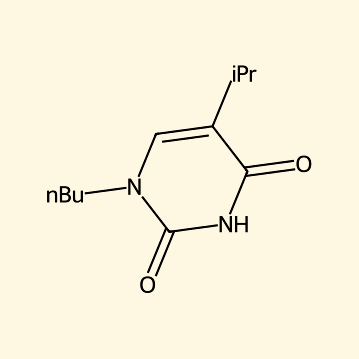 CCCCn1cc(C(C)C)c(=O)[nH]c1=O